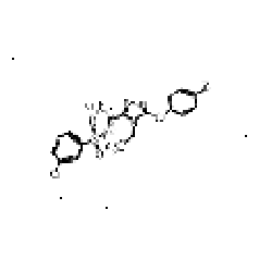 CCn1c(Oc2ccc(F)cc2)nnc1[C@@H](C)NS(=O)(=O)c1cccc(Cl)c1